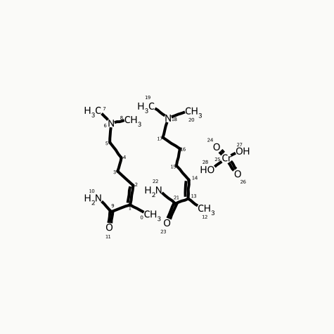 CC(=CCCCN(C)C)C(N)=O.CC(=CCCCN(C)C)C(N)=O.[O]=[Cr](=[O])([OH])[OH]